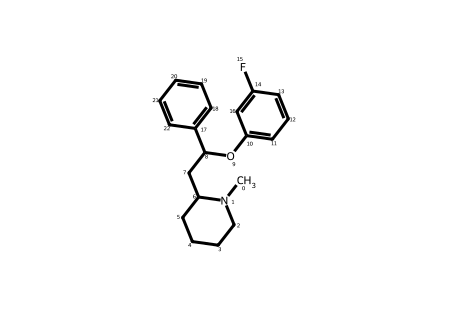 CN1CCCCC1CC(Oc1cccc(F)c1)c1ccccc1